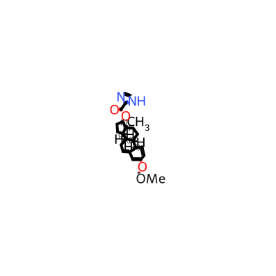 COCOC1=CC2=CC[C@@H]3[C@H](CC[C@]4(C)[C@@H](OC(=O)c5ncc[nH]5)CC[C@@H]34)[C@H]2C=C1